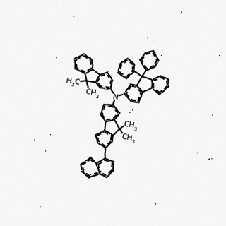 CC1(C)c2ccccc2-c2ccc(N(c3ccc4c(c3)C(C)(C)c3cc(-c5cccc6ccccc56)ccc3-4)c3ccc4c(c3)C(c3ccccc3)(c3ccccc3)c3ccccc3-4)cc21